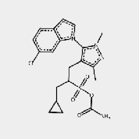 Cc1nn(C)c(-n2ccc3ccc(Cl)cc32)c1CC(CC1CC1)S(=O)(=O)OC(N)=O